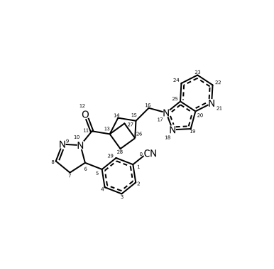 N#Cc1cccc(C2CC=NN2C(=O)C23CC(Cn4ncc5ncccc54)C(C2)C3)c1